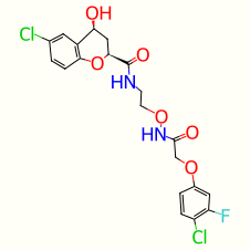 O=C(COc1ccc(Cl)c(F)c1)NOCCNC(=O)[C@@H]1C[C@H](O)c2cc(Cl)ccc2O1